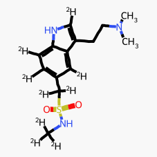 [2H]c1[nH]c2c([2H])c([2H])c(C([2H])([2H])S(=O)(=O)NC([2H])([2H])[2H])c([2H])c2c1CCN(C)C